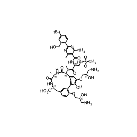 Cc1nc(-c2ccc(C(C)(C)C)cc2CO)nc(N)c1C(=O)N[C@@H](CNS(N)(=O)=O)C(=O)N(C)[C@@H]1C(=O)N[C@@H](C)C(=O)N[C@H](C(=O)O)Cc2ccc(OC[C@H](O)CN)c(c2)-c2cc1cc(OC[C@H](O)CN)c2O